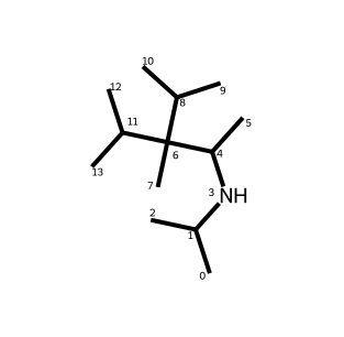 CC(C)NC(C)C(C)(C(C)C)C(C)C